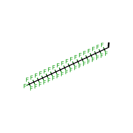 C=CC(F)(F)C(F)(F)C(F)(F)C(F)(F)C(F)(F)C(F)(F)C(F)(F)C(F)(F)C(F)(F)C(F)(F)C(F)(F)C(F)(F)C(F)(F)C(F)(F)C(F)(F)C(F)(F)C(F)(F)C(F)(F)F